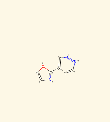 c1cc(-c2ncco2)cnn1